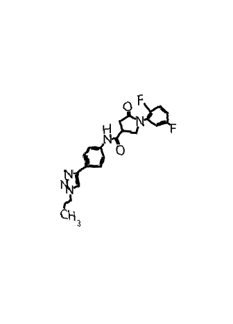 CCCn1cc(-c2ccc(NC(=O)C3CC(=O)N(c4cc(F)ccc4F)C3)cc2)nn1